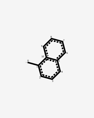 [CH2]c1[c]ccc2ccccc12